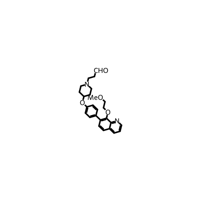 COCCOc1c(-c2ccc(OC3CCN(CCC=O)CC3)cc2)ccc2cccnc12